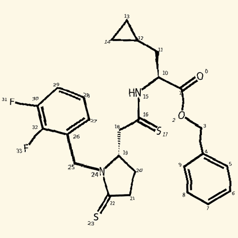 O=C(OCc1ccccc1)[C@H](CC1CC1)NC(=S)C[C@@H]1CCC(=S)N1Cc1cccc(F)c1F